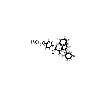 O=C(Oc1ccc(C(=O)O)cc1)C(=O)c1c(-c2ccccc2)cc2ccccn12